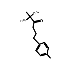 CCCC(C)(CCC)C(=O)CCCc1ccc(I)cc1